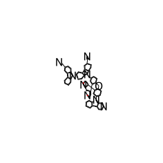 N#Cc1ccc2c(c1)c1ccccc1n2-c1ccc2c(c1)c1cc(C#N)ccc1n2-c1ccc2c(c1)C1(c3cc(-n4c5ccccc5c5ccncc54)ccc3O2)c2cccnc2-c2ncccc21